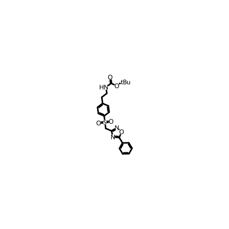 CC(C)(C)OC(=O)NCCc1ccc(S(=O)(=O)Cc2noc(-c3ccccc3)n2)cc1